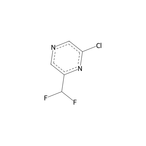 FC(F)c1cncc(Cl)n1